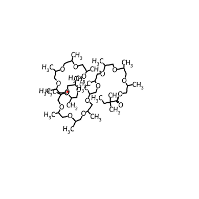 CCC(C)(C)C(=O)OCC(C)OCC(C)OCC(C)OCC(C)OCC(C)OCC(C)OCC(C)OCC(C)OCC(C)OCC(C)OCC(C)OCC(C)OCC(C)OCC(C)OCC(C)OC